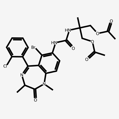 CC(=O)OCC(C)(COC(C)=O)NC(=O)Nc1ccc2c(c1Br)C(c1ccccc1Cl)=NC(C)C(=O)N2C